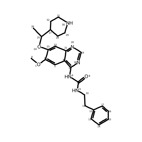 COc1cc2c(NC(=O)NCCc3ccccc3)ncnc2cc1OC(C)C1CCNCC1